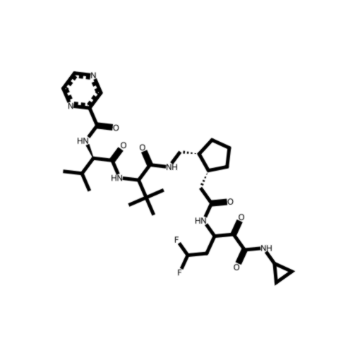 CC(C)[C@@H](NC(=O)c1cnccn1)C(=O)NC(C(=O)NC[C@@H]1CCC[C@@H]1CC(=O)NC(CC(F)F)C(=O)C(=O)NC1CC1)C(C)(C)C